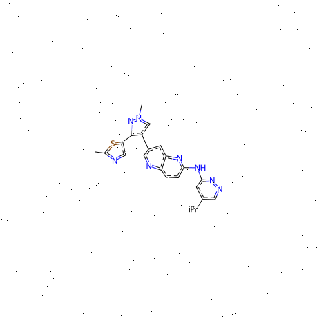 Cc1ncc(-c2nn(C)cc2-c2cnc3ccc(Nc4cc(C(C)C)cnn4)nc3c2)s1